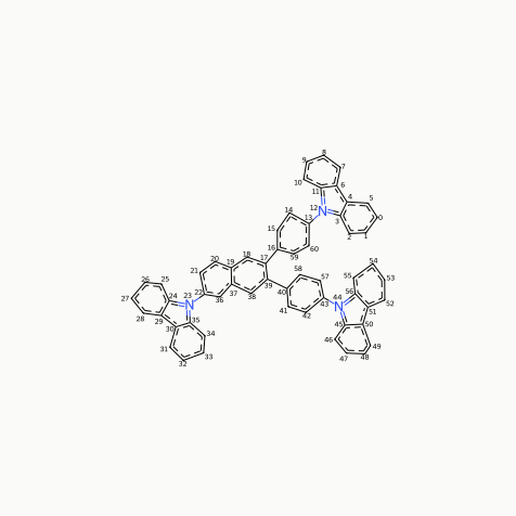 c1ccc2c(c1)c1ccccc1n2-c1ccc(-c2cc3ccc(-n4c5ccccc5c5ccccc54)cc3cc2-c2ccc(-n3c4ccccc4c4ccccc43)cc2)cc1